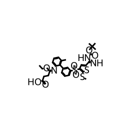 CCOC(CCC(=O)O)=Nc1cccc(C)c1-c1cccc(S(=O)(=O)c2cc(C(=N)NC(=O)OC(C)(C)C)sc2SC)c1